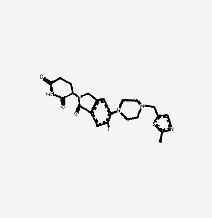 Cc1ncc(CN2CCN(c3cc4c(cc3F)C(=O)N(C3CCC(=O)NC3=O)C4)CC2)s1